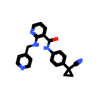 N#CC1(c2ccc(NC(=O)c3cccnc3NCc3ccncc3)cc2)CC1